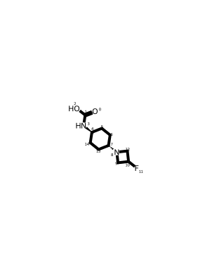 O=C(O)N[C@H]1CC[C@H](N2CC(F)C2)CC1